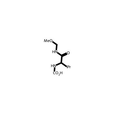 COCNC(=O)C(NC(=O)O)C(C)C